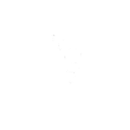 N#CCC(=O)OC1/C=C\C(OC(=O)CC#N)CCCC1